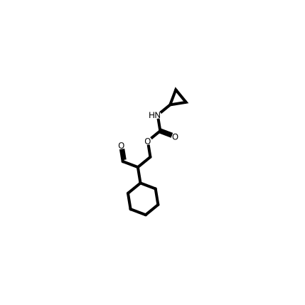 O=CC(COC(=O)NC1CC1)C1CCCCC1